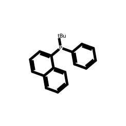 CC(C)(C)P(c1ccccc1)c1cccc2ccccc12